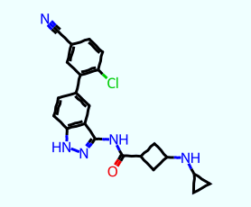 N#Cc1ccc(Cl)c(-c2ccc3[nH]nc(NC(=O)C4CC(NC5CC5)C4)c3c2)c1